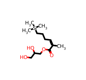 CC(=CCCC[Si](C)(C)C)C(=O)OCC(O)CO